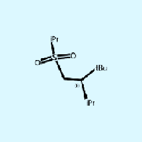 CC(C)[C@@H](CS(=O)(=O)C(C)C)C(C)(C)C